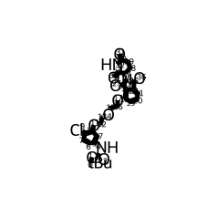 CC(C)(C)OC(=O)Nc1ccc(Cl)c(OCCOCCOc2cccc3c2C(=O)N(C2CCC(=O)NC2=O)C3=O)c1